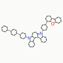 c1ccc(-c2ccc(-c3ccc(-n4c5ccccc5c5c6c7ccccc7n(-c7ccc(-c8cccc9c8oc8ccccc89)cc7)c6ccc54)cc3)cc2)cc1